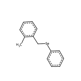 Cc1ccccc1C[Se]c1ccccc1